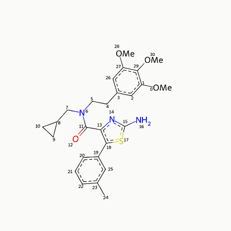 COc1cc(CCN(CC2CC2)C(=O)c2nc(N)sc2-c2cccc(C)c2)cc(OC)c1OC